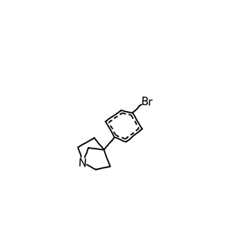 Brc1ccc(C23CCN(CC2)C3)cc1